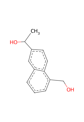 CC(O)c1ccc2c(CO)cccc2c1